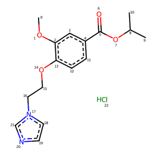 COc1cc(C(=O)OC(C)C)ccc1OCCn1ccnc1.Cl